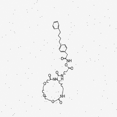 O=C1COCCOCCOCC(=O)N[C@H](C(=O)NCCC(=O)ONC(=O)Cc2ccc(CCCCc3ccccc3)cc2)CCCCN1